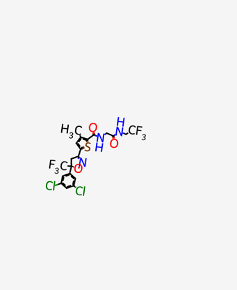 Cc1cc(C2=NOC(c3cc(Cl)cc(Cl)c3)(C(F)(F)F)C2)sc1C(=O)NCC(=O)NCC(F)(F)F